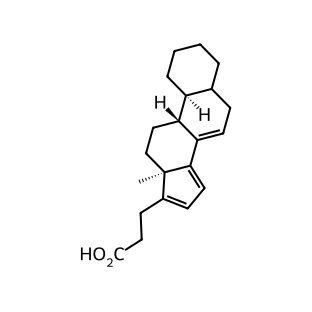 C[C@]12CC[C@H]3C(=CCC4CCCC[C@@H]43)C1=CC=C2CCC(=O)O